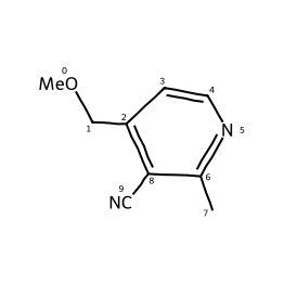 COCc1ccnc(C)c1C#N